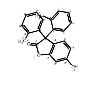 Cc1ccccc1C1(c2ccccc2C)C(=O)Oc2cc(O)ccc21